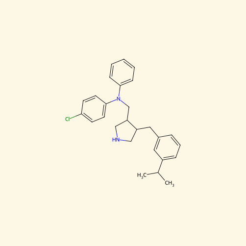 CC(C)c1cccc(CC2CNCC2CN(c2ccccc2)c2ccc(Cl)cc2)c1